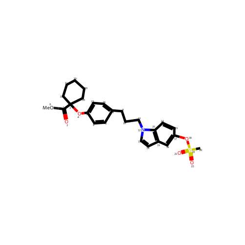 COC(=O)C1(Oc2ccc(CCCn3ccc4cc(OS(C)(=O)=O)ccc43)cc2)CCCCC1